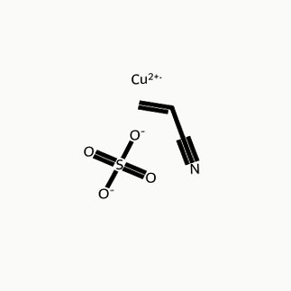 C=CC#N.O=S(=O)([O-])[O-].[Cu+2]